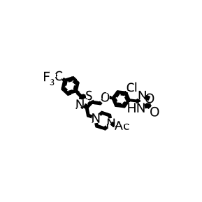 CC(=O)N1CCN(Cc2nc(-c3ccc(C(F)(F)F)cc3)sc2COc2ccc(-c3noc(=O)[nH]3)c(Cl)c2)CC1